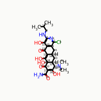 CC(C)CNc1nc(Cl)c2c(c1O)C(=O)C1=C(O)[C@]3(O)C(=O)C(C(N)=O)=C(O)[C@@H](N(C)C)[C@@H]3C[C@@H]1C2